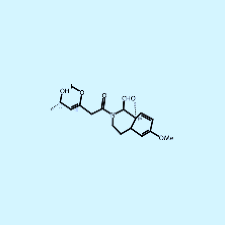 COC1=CC2CCN(C(=O)C/C(=C/[C@H](C)O)OI)C(C=O)[C@@]2(C)C=C1